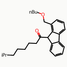 CCCCOCc1cccc2c1C(C(=O)CCCCCC(C)C)c1ccccc1-2